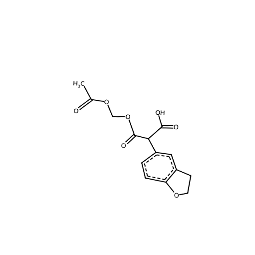 CC(=O)OCOC(=O)C(C(=O)O)c1ccc2c(c1)CCO2